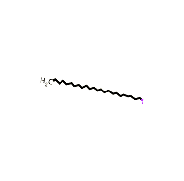 C=CCCCCCCCCCCCCCCCCCCCCCCI